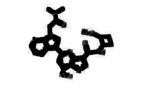 CNc1cc(-c2cn(CC(=O)N(C)C)c3ncccc23)nc2c(C(=O)NC3CCC3OC)cnn12